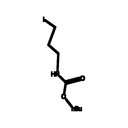 CCCCOC(=O)NCCCI